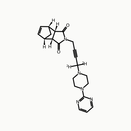 [2H]C([2H])(C#CCN1C(=O)[C@@H]2[C@H](C1=O)[C@@H]1C=C[C@H]2C1)N1CCN(c2ncccn2)CC1